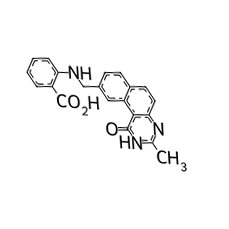 Cc1nc2ccc3ccc(CNc4ccccc4C(=O)O)cc3c2c(=O)[nH]1